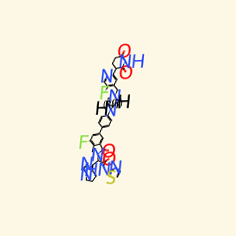 O=C1CCC(c2cc(CN3C[C@H]4C[C@@H]3CN4c3ccc(-c4cc(F)c5c(c4)C(=O)N(C(C(=O)Nc4nccs4)c4ncn6c4CCC6)C5)cc3)c(F)cn2)C(=O)N1